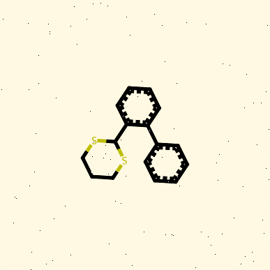 c1ccc(-c2ccccc2C2SCCCS2)cc1